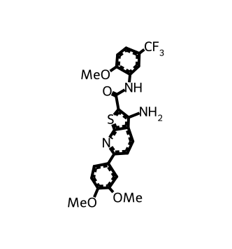 COc1ccc(C(F)(F)F)cc1NC(=O)c1sc2nc(-c3ccc(OC)c(OC)c3)ccc2c1N